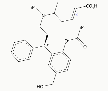 CC(C)C(=O)Oc1ccc(CO)cc1[C@H](CCN(C(C)C)C(C)C/C=C/C(=O)O)c1ccccc1